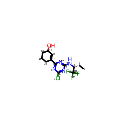 CC[C@@H](Nc1nc(Cl)nc(C2=CC(O)CCC2)n1)C(F)(F)F